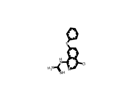 N=C(N)Nc1ncc(Cl)c2ccc(Sc3ccccc3)cc12